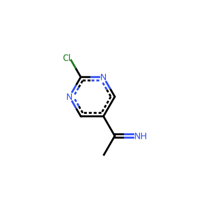 CC(=N)c1cnc(Cl)nc1